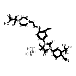 CCc1cc(N2C(=S)N(c3ccc(C#N)c(C(F)(F)F)c3)C(=O)C2(C)C)ccc1OCCN1CCN(C(C)(C)C(=O)O)CC1.Cl.Cl.Cl